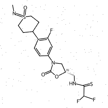 CN=S1(=O)CCC(c2ccc(N3C[C@H](CNC(=S)C(F)F)OC3=O)cc2F)CC1